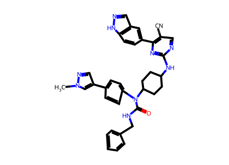 Cn1cc(-c2ccc(N(C(=O)NCc3ccccc3)C3CCC(Nc4ncc(C#N)c(-c5ccc6[nH]ncc6c5)n4)CC3)cc2)cn1